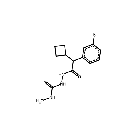 CNC(=S)NNC(=O)C(c1cccc(Br)c1)C1CCC1